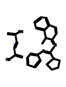 Cn1c(=NC(=Nc2ccccc2)N2CCCC2)ccc2ccccc21.O=C(O)/C=C/C(=O)O